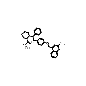 Cc1cc(COc2ccc(C(=O)N(c3ccccc3)[C@@H]3CCOC[C@@H]3C(=O)NO)cc2)c2ccccc2n1